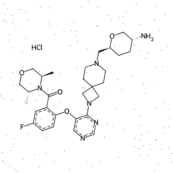 C[C@@H]1COC[C@@H](C)N1C(=O)c1cc(F)ccc1Oc1cncnc1N1CC2(CCN(C[C@@H]3CC[C@@H](N)CO3)CC2)C1.Cl